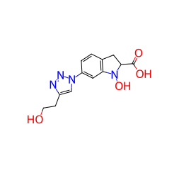 O=C(O)C1Cc2ccc(-n3cc(CCO)nn3)cc2N1O